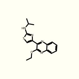 CCOc1nc2ccccc2nc1-c1csc(NC(C)C)n1